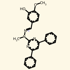 COc1ccc(/C=N/N(C)c2nc(-c3ccccc3)cc(-c3ccccc3)n2)cc1O